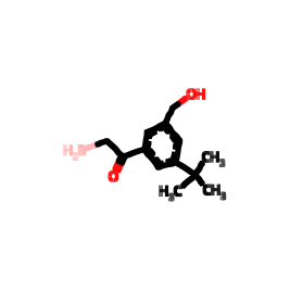 BCC(=O)c1cc(CO)cc(C(C)(C)C)c1